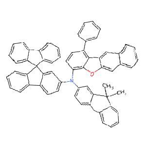 CC1(C)c2ccccc2-c2ccc(N(c3ccc4c(c3)C3(c5ccccc5-c5ccccc53)c3ccccc3-4)c3ccc(-c4ccccc4)c4c3oc3cc5ccccc5cc34)cc21